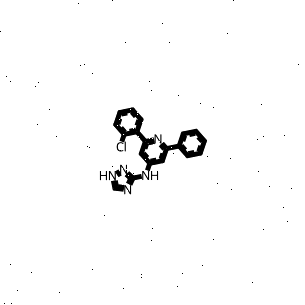 Clc1ccccc1-c1cc(Nc2nc[nH]n2)cc(-c2ccccc2)n1